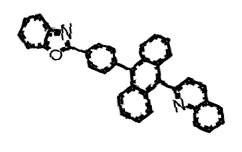 c1ccc2nc(-c3c4ccccc4c(-c4ccc(-c5nc6ccccc6o5)cc4)c4ccccc34)ccc2c1